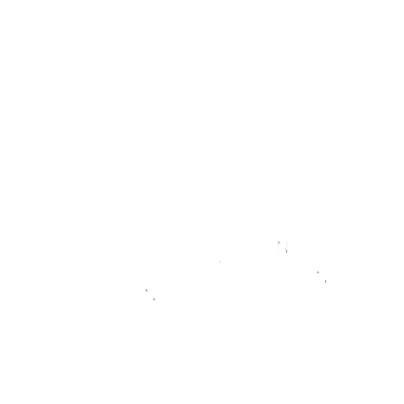 c1cc(-c2ccc3c4ccccc4c4ccccc4c3c2)cc(-n2c3ccccc3c3ccc4c5cncnc5sc4c32)c1